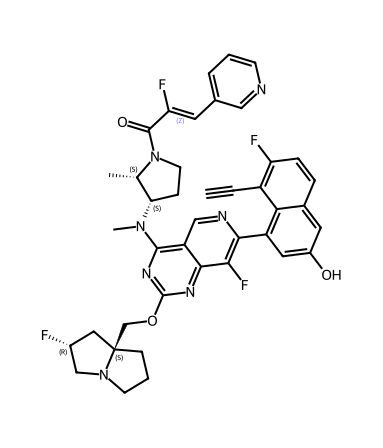 C#Cc1c(F)ccc2cc(O)cc(-c3ncc4c(N(C)[C@H]5CCN(C(=O)/C(F)=C/c6cccnc6)[C@H]5C)nc(OC[C@@]56CCCN5C[C@H](F)C6)nc4c3F)c12